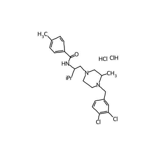 Cc1ccc(C(=O)NC(CN2CCN(Cc3ccc(Cl)c(Cl)c3)C(C)C2)C(C)C)cc1.Cl.Cl